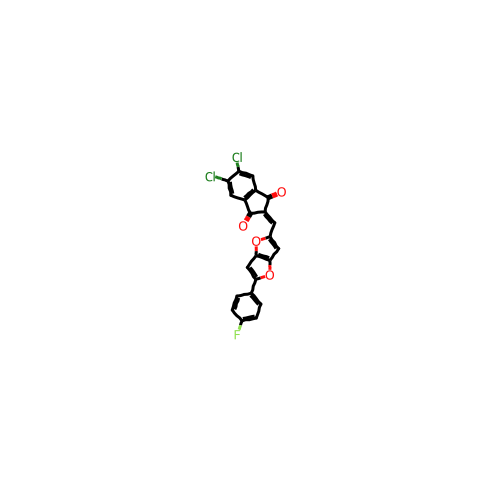 O=C1C(=Cc2cc3oc(-c4ccc(F)cc4)cc3o2)C(=O)c2cc(Cl)c(Cl)cc21